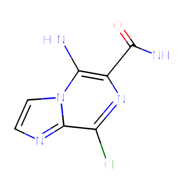 NC(=O)c1nc(Cl)c2nccn2c1N